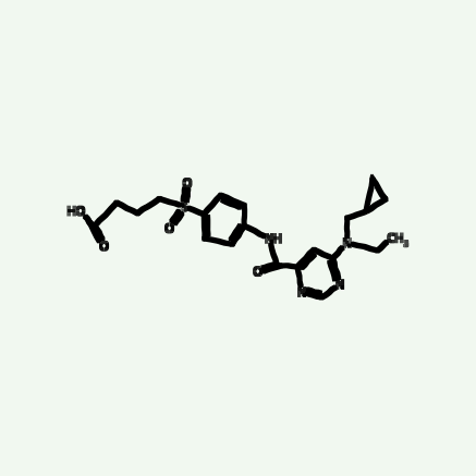 CCN(CC1CC1)c1cc(C(=O)Nc2ccc(S(=O)(=O)CCCC(=O)O)cc2)ncn1